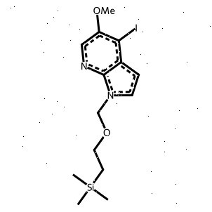 COc1cnc2c(ccn2COCC[Si](C)(C)C)c1I